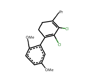 COc1ccc(OC)c(C2=C(Cl)C(Cl)=C(C(C)C)[CH]C2)c1